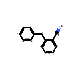 N#Cc1c[c]ccc1Cc1ccccc1